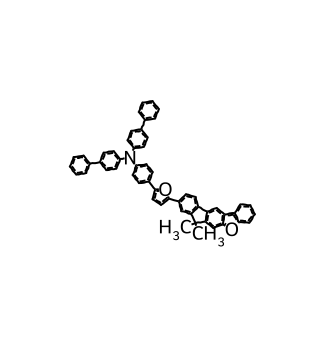 CC1(C)c2cc(-c3ccc(-c4ccc(N(c5ccc(-c6ccccc6)cc5)c5ccc(-c6ccccc6)cc5)cc4)o3)ccc2-c2cc3c(cc21)oc1ccccc13